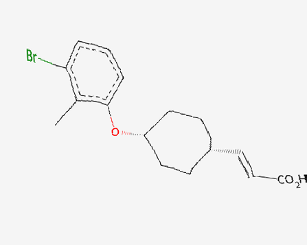 Cc1c(Br)cccc1O[C@H]1CC[C@@H](/C=C/C(=O)O)CC1